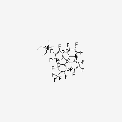 CC[NH+](CC)CC.Fc1c(F)c(F)c([B-](c2c(F)c(F)c(F)c(F)c2F)(c2c(F)c(F)c(F)c(F)c2F)c2c(F)c(F)c(C(F)(F)F)c(F)c2F)c(F)c1F